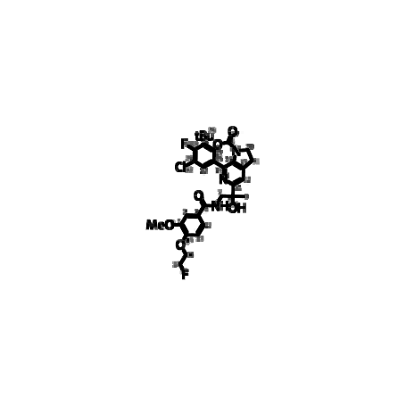 COc1cc(C(=O)NCC(C)(O)c2cc3c(c(-c4ccc(F)c(Cl)c4)n2)N(C(=O)OC(C)(C)C)CC3)ccc1OCCF